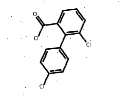 O=C(Cl)c1cccc(Cl)c1-c1ccc(Cl)cc1